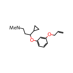 C=CCOc1cccc(OC(CCNC)C2CC2)c1